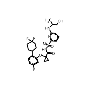 CC(CO)Nc1cccc(S(=O)(=O)NC(=O)C2(Oc3cc(F)ccc3C3CCC(F)(F)CC3)CC2)n1